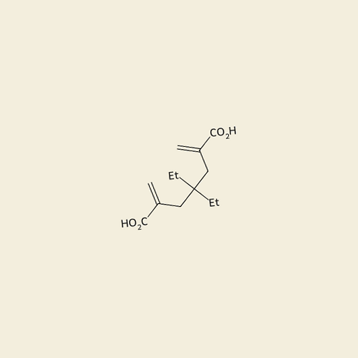 C=C(CC(CC)(CC)CC(=C)C(=O)O)C(=O)O